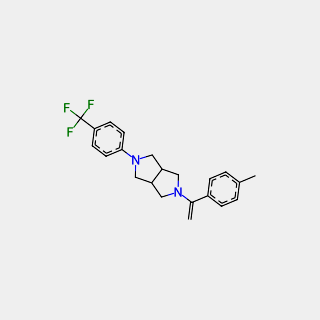 C=C(c1ccc(C)cc1)N1CC2CN(c3ccc(C(F)(F)F)cc3)CC2C1